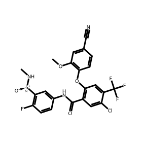 CN[S@+]([O-])c1cc(NC(=O)c2cc(Cl)c(C(F)(F)F)cc2Oc2ccc(C#N)cc2OC)ccc1F